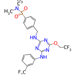 CN(C)S(=O)(=O)c1ccc(CNc2nc(Nc3cccc(C(F)(F)F)c3)nc(OCC(F)(F)F)n2)cc1